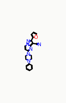 N#Cc1c(-c2ccco2)nn2ccc(N3CCN(c4ccccc4)CC3)nc12